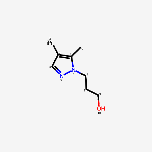 Cc1c(C(C)C)cnn1CCCO